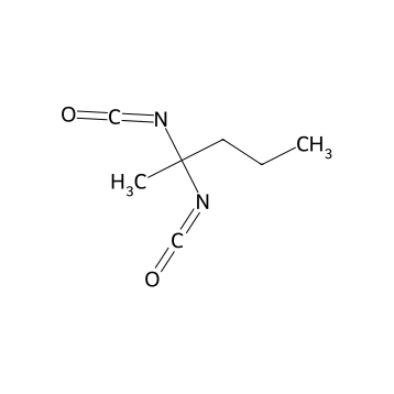 CCCC(C)(N=C=O)N=C=O